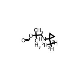 [2H]C([2H])([2H])C1(NCC(C)(C)OC=O)CC1